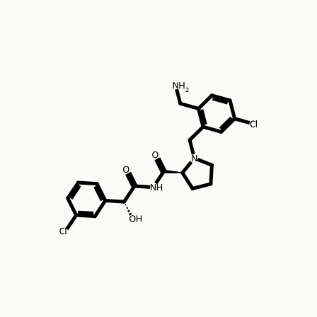 NCc1ccc(Cl)cc1CN1CCC[C@H]1C(=O)NC(=O)[C@H](O)c1cccc(Cl)c1